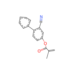 C=C(C)C(=O)Oc1ccc(-c2ccccc2)c(C#N)c1